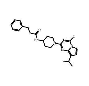 CC(C)c1cnn2c(Cl)nc(N3CCC(NC(=O)OCc4ccccc4)CC3)nc12